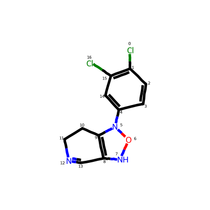 Clc1ccc(N2ONC3=C2CCN=C3)cc1Cl